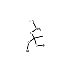 CCOC(C)(OCC)O[SiH2]O